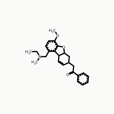 CCN(C)Cc1ccc(OC)c2c1C1C=CC(CC(=O)c3ccccc3)CC1O2